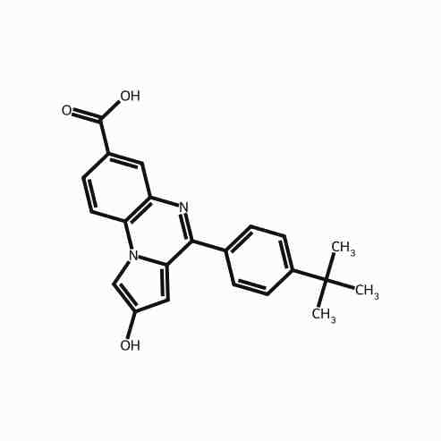 CC(C)(C)c1ccc(-c2nc3cc(C(=O)O)ccc3n3cc(O)cc23)cc1